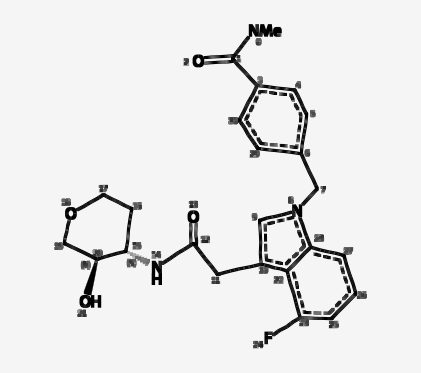 CNC(=O)c1ccc(Cn2cc(CC(=O)N[C@H]3CCOC[C@@H]3O)c3c(F)cccc32)cc1